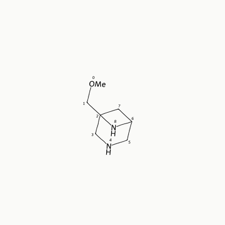 COCC12CNCC(C1)N2